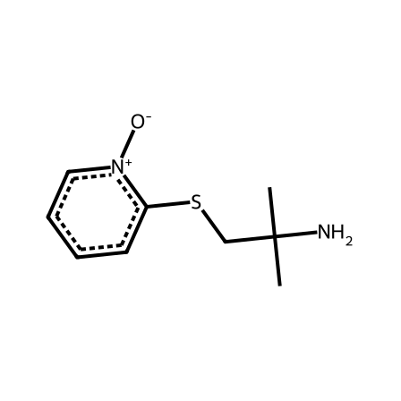 CC(C)(N)CSc1cccc[n+]1[O-]